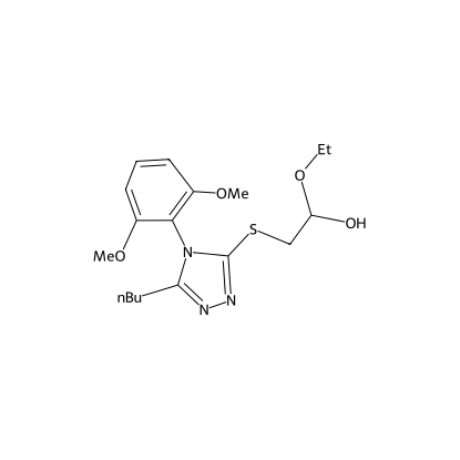 CCCCc1nnc(SCC(O)OCC)n1-c1c(OC)cccc1OC